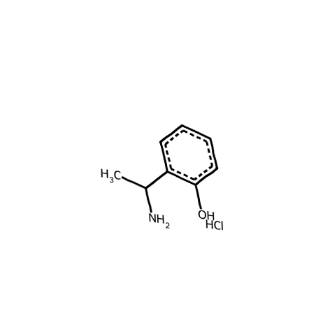 CC(N)c1ccccc1O.Cl